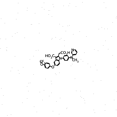 CN(c1ccc(-n2c(CC(=O)O)c(C(=O)O)c3cc(Oc4ccc(OC(F)(F)F)cc4)ccc32)cc1)c1cccnc1